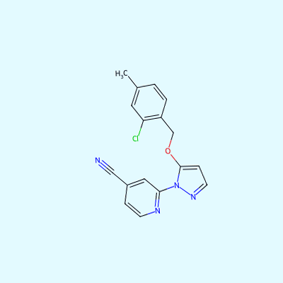 Cc1ccc(COc2ccnn2-c2cc(C#N)ccn2)c(Cl)c1